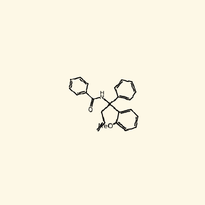 C=CCC(NC(=O)c1ccccc1)(c1ccccc1)c1ccccc1OC